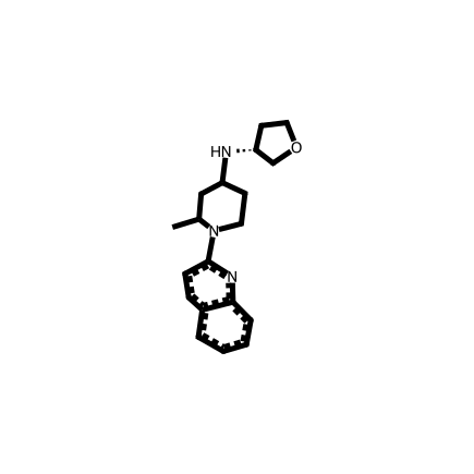 CC1CC(N[C@@H]2CCOC2)CCN1c1ccc2ccccc2n1